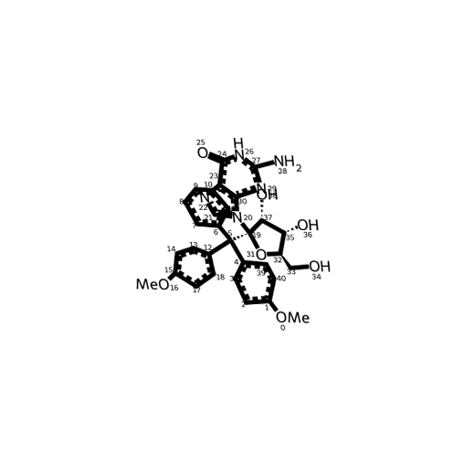 COc1ccc(C(c2ccccc2)(c2ccc(OC)cc2)[C@@]2(n3cnc4c(=O)[nH]c(N)nc43)O[C@H](CO)[C@@H](O)[C@H]2O)cc1